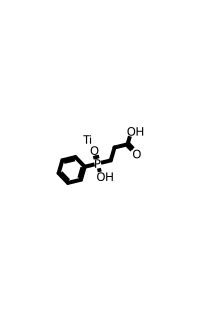 O=C(O)CCP(=O)(O)c1ccccc1.[Ti]